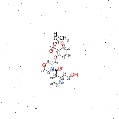 CC1(C)OC(=O)c2c(OC[C@@H]3COCCN3C(=O)c3cccnc3CCO)cccc2O1